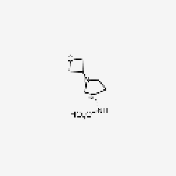 O=C(O)N[C@H]1CCN(C2COC2)C1